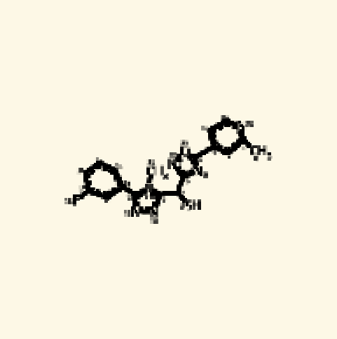 Cc1cc(-c2nc(C(S)c3nnc(-c4cccc(F)c4)n3C)no2)ccn1